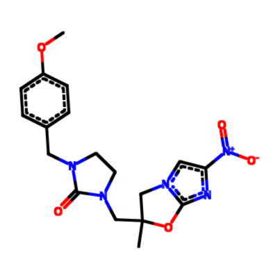 COc1ccc(CN2CCN(CC3(C)Cn4cc([N+](=O)[O-])nc4O3)C2=O)cc1